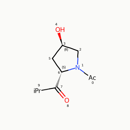 CC(=O)N1C[C@H](O)C[C@H]1C(=O)C(C)C